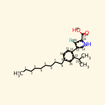 CCCCCCCCCc1ccc(-c2c[nH]c(C(=O)O)c2F)c(C(C)C)c1